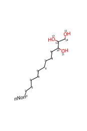 CCCCCCCCCCCCCCCCCCC(O)C(O)CO